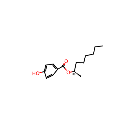 CCCCCC[C@@H](C)OC(=O)c1ccc(O)cc1